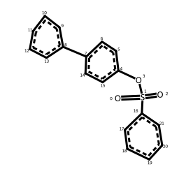 O=S(=O)(Oc1ccc(-c2cc[c]cc2)cc1)c1ccccc1